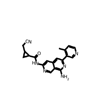 Cc1ccncc1-c1cc2cc(NC(=O)C3CC3CC#N)ncc2c(N)n1